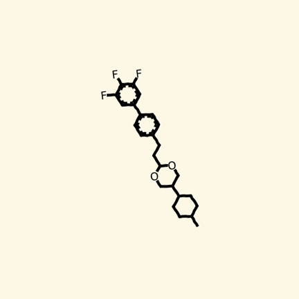 CC1CCC(C2COC(CCc3ccc(-c4cc(F)c(F)c(F)c4)cc3)OC2)CC1